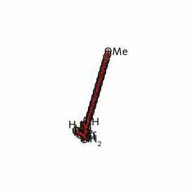 COCCOCCOCCOCCOCCOCCOCCOCCOCCOCCOCCOCCOCCOCCOCCOCCOCCOCCOCCOCCOCCOCCOCCOCCC(=O)NCCCC[C@H](OC(N)=O)C(=O)NCCC(=O)N[C@H](C(=O)N[C@@H](CCCNC(N)=O)C(=O)Nc1ccc(CO)cc1)C(C)C